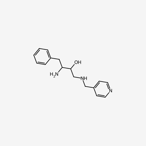 NC(Cc1ccccc1)C(O)CNCc1ccncc1